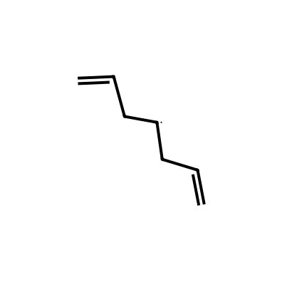 C=CC[CH]CC=C